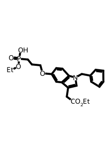 CCOC(=O)Cc1cn(Cc2ccccc2)c2ccc(OCCCP(=O)(O)OCC)cc12